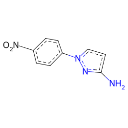 Nc1ccn(-c2ccc([N+](=O)[O-])cc2)n1